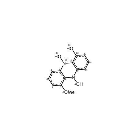 COc1cccc2c1N(O)c1cccc(O)c1N2O